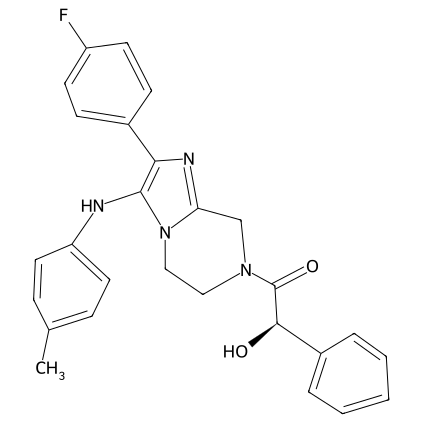 Cc1ccc(Nc2c(-c3ccc(F)cc3)nc3n2CCN(C(=O)[C@H](O)c2ccccc2)C3)cc1